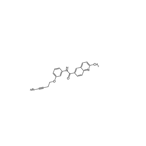 CCCC#CCCOc1cccc(NC(=O)c2ccc3nc(C)ccc3c2)c1